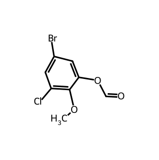 COc1c(Cl)cc(Br)cc1OC=O